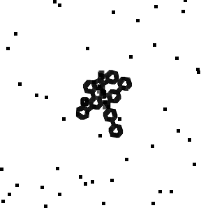 c1ccc(-c2ccc(N3c4ccc(-c5ccccc5)cc4B4c5c3cc3c(oc6ccccc63)c5-c3cccc5c6sc7ccccc7c6n4c35)cc2)cc1